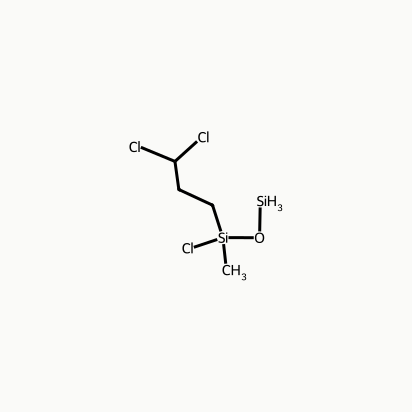 C[Si](Cl)(CCC(Cl)Cl)O[SiH3]